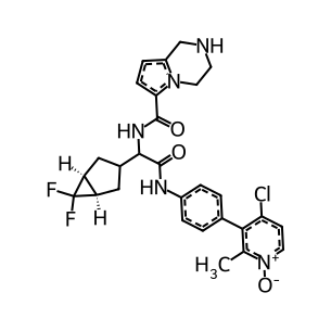 Cc1c(-c2ccc(NC(=O)C(NC(=O)c3ccc4n3CCNC4)C3C[C@@H]4[C@H](C3)C4(F)F)cc2)c(Cl)cc[n+]1[O-]